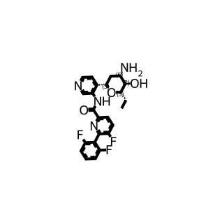 CC[C@@H]1O[C@H](c2ccncc2NC(=O)c2ccc(F)c(-c3c(F)cccc3F)n2)C[C@H](N)[C@H]1O